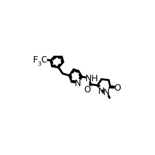 CN1N=C(C(=O)Nc2ccc(Cc3cccc(C(F)(F)F)c3)cn2)CCC1=O